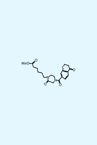 COC(=O)CCCCCN1CCN(C(=O)c2ccc3c(c2)CCCC3=O)CC1=O